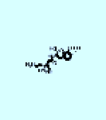 NCCN1NNN=C1CC(=O)N[C@H]1Cc2cccc(C(=O)O)c2OB1O